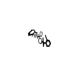 Cc1ccccc1C(C)(C)OC(=O)NCc1ccccc1